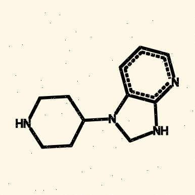 c1cnc2c(c1)N(C1CCNCC1)CN2